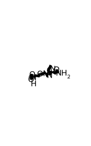 COC(N)Cc1nc(C)cc2c1ncn2CCOCCNS(C)(=O)=O